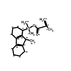 C=C(C)C(=O)[O][Ti]([CH3])([CH3])[CH]1CCCC2=C1C(C)C1=C2CCCC1